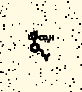 CN(C)CCc1cccc(-c2ocnc2C(=O)O)c1